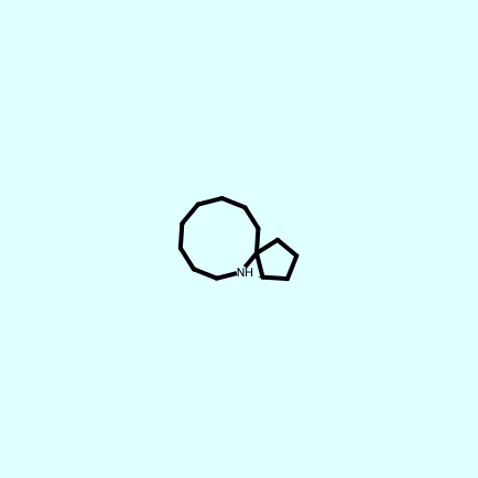 [CH]1CCCC12CCCCCCCCN2